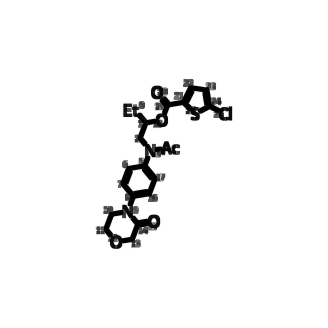 CCC(CN(C(C)=O)c1ccc(N2CCOCC2=O)cc1)OC(=O)c1ccc(Cl)s1